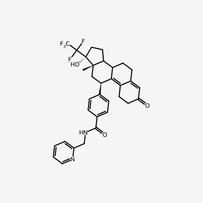 C[C@]12C[C@H](c3ccc(C(=O)NCc4ccccn4)cc3)C3=C4CCC(=O)C=C4CCC3C1CC[C@]2(O)C(F)(F)C(F)(F)F